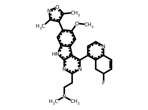 COc1cc2c(cc1-c1c(C)noc1C)[nH]c1nc(CCN(C)C)nc(-c3ccnc4c3CC(F)C=C4)c12